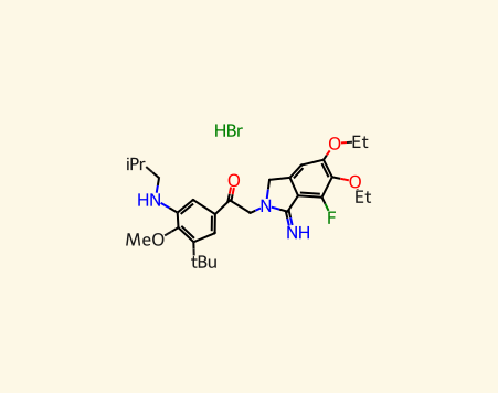 Br.CCOc1cc2c(c(F)c1OCC)C(=N)N(CC(=O)c1cc(NCC(C)C)c(OC)c(C(C)(C)C)c1)C2